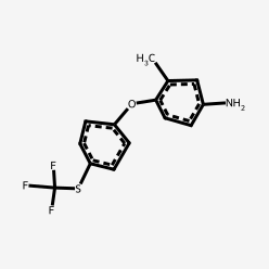 Cc1cc(N)ccc1Oc1ccc(SC(F)(F)F)cc1